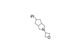 CC(C)C1CC2CN(C3COC3)CC2C1